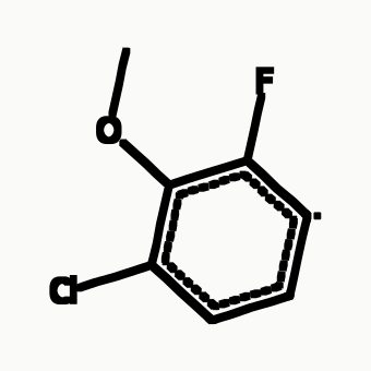 COc1c(F)[c]ccc1Cl